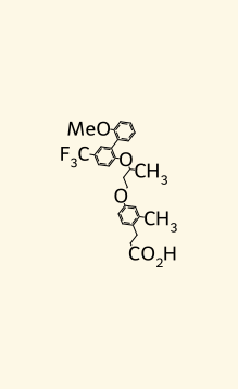 COc1ccccc1-c1cc(C(F)(F)F)ccc1OC(C)CCOc1ccc(CCC(=O)O)c(C)c1